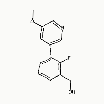 COc1cncc(-c2cccc(CO)c2F)c1